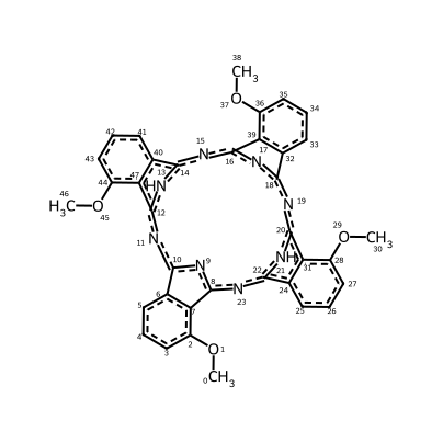 COc1cccc2c1-c1nc-2nc2[nH]c(nc3nc(nc4[nH]c(n1)c1cccc(OC)c41)-c1cccc(OC)c1-3)c1cccc(OC)c21